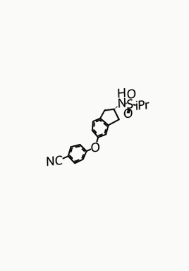 CC(C)S(=O)(=O)N[C@H]1Cc2ccc(Oc3ccc(C#N)cc3)cc2C1